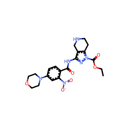 CCOC(=O)n1nc(NC(=O)c2ccc(N3CCOCC3)cc2[N+](=O)[O-])c2c1CCNC2